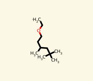 [CH2]COCCC(C)CC(C)(C)C